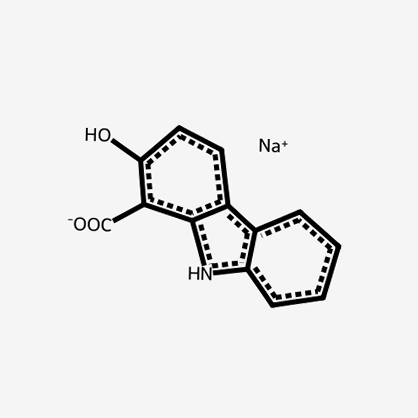 O=C([O-])c1c(O)ccc2c1[nH]c1ccccc12.[Na+]